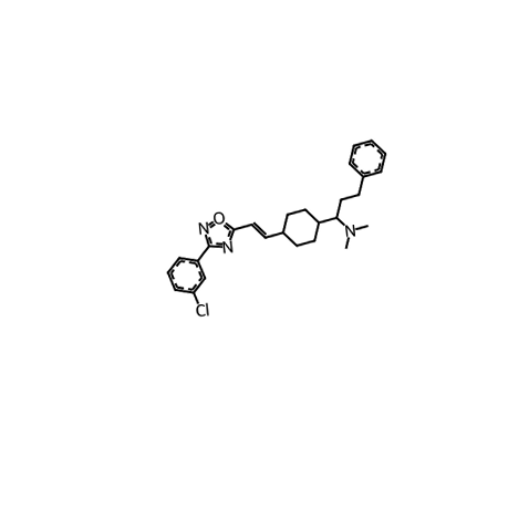 CN(C)C(CCc1ccccc1)C1CCC(C=Cc2nc(-c3cccc(Cl)c3)no2)CC1